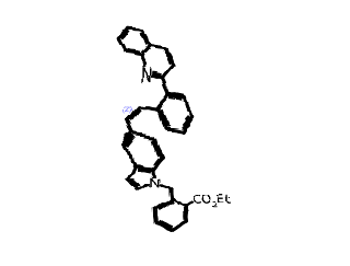 CCOC(=O)c1ccccc1Cn1ccc2cc(/C=C\c3ccccc3-c3ccc4ccccc4n3)ccc21